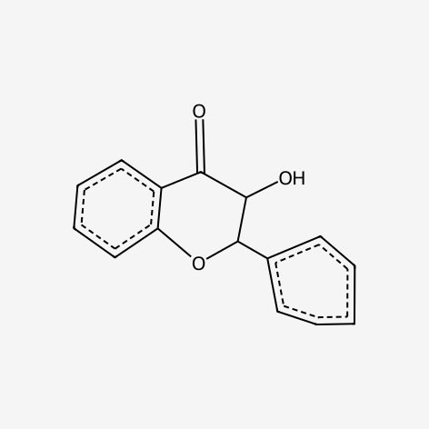 O=C1c2ccccc2OC(c2ccccc2)C1O